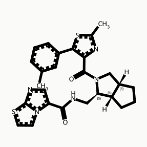 Cc1cccc(-c2sc(C)nc2C(=O)N2C[C@@H]3CCC[C@@H]3[C@H]2CNC(=O)c2cnc3sccn23)c1